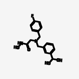 O=C(CN(Cc1ccc(F)cc1)Cc1cccc(C(O)O)c1)NO